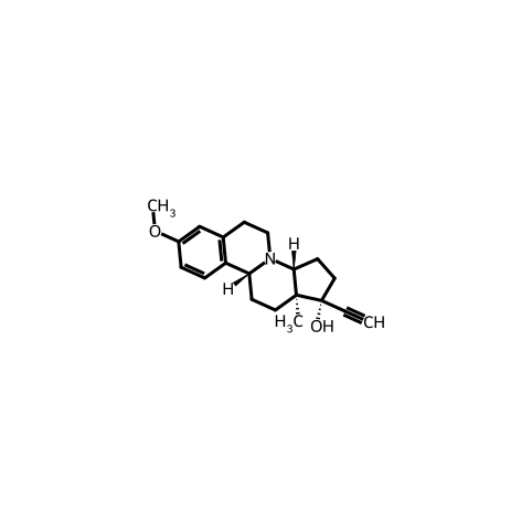 C#C[C@]1(O)CC[C@H]2N3CCc4cc(OC)ccc4[C@H]3CC[C@@]21C